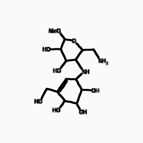 COC1OC(CN)C(NC2C=C(CO)C(O)C(O)C2O)C(O)C1O